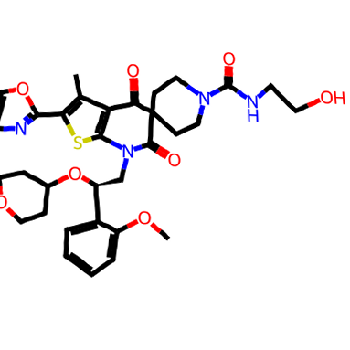 COc1ccccc1[C@H](CN1C(=O)C2(CCN(C(=O)NCCO)CC2)C(=O)c2c1sc(-c1ncco1)c2C)OC1CCOCC1